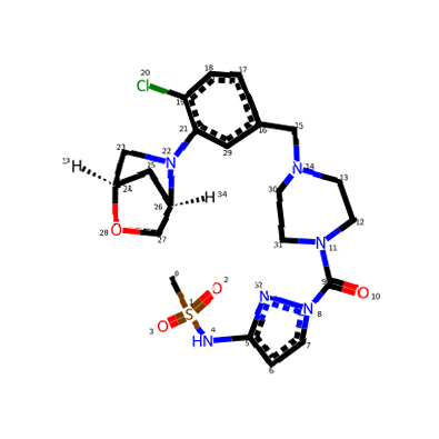 CS(=O)(=O)Nc1ccn(C(=O)N2CCN(Cc3ccc(Cl)c(N4C[C@H]5C[C@@H]4CO5)c3)CC2)n1